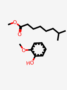 COC(=O)CCCCCC(C)C.COc1ccccc1O